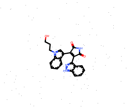 O=C1NC(=O)C(c2cn(CCCO)c3ccccc23)=C1c1n[nH]c2ccccc12